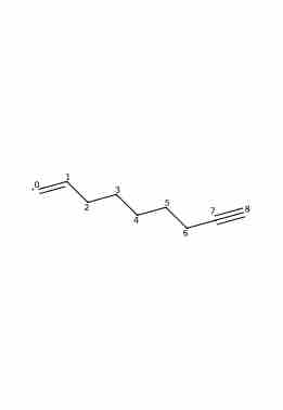 [CH]=CCCCCCC#C